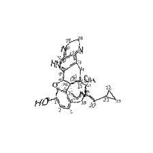 Oc1ccc2c3c1OC1c4[nH]c5c(c4C[C@@]4(O)C(C2)N(CC2CC2)CC[C@]314)=NCCN=5